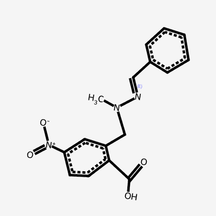 CN(Cc1cc([N+](=O)[O-])ccc1C(=O)O)/N=C/c1ccccc1